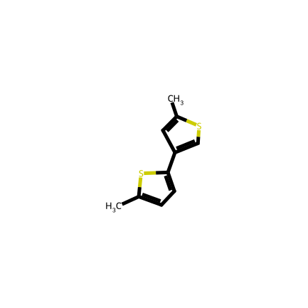 Cc1cc(-c2ccc(C)s2)cs1